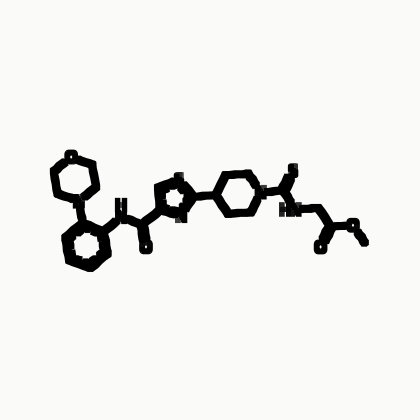 COC(=O)CNC(=S)N1CCC(c2nc(C(=O)Nc3ccccc3N3CCOCC3)cs2)CC1